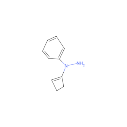 NN(C1=CCC1)c1ccccc1